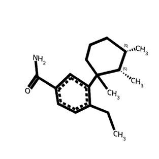 CCc1ccc(C(N)=O)cc1C1(C)CCC[C@H](C)[C@@H]1C